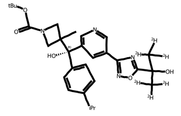 [2H]C([2H])([2H])C(O)(c1nc(-c2cncc([C@@](O)(c3ccc(C(C)C)cc3)C3(C)CN(C(=O)OC(C)(C)C)C3)c2)no1)C([2H])([2H])[2H]